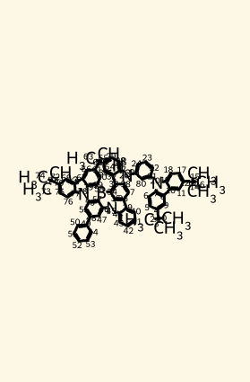 CC(C)(C)c1ccc2c(c1)c1cc(C(C)(C)C)ccc1n2-c1cccc(-n2c3ccccc3c3c4c5c(cc32)c2ccccc2n5-c2cc(-c3ccccc3)cc3c2B4c2cc(C(C)(C)C)cc4c5cc(C(C)(C)C)ccc5n-3c24)c1